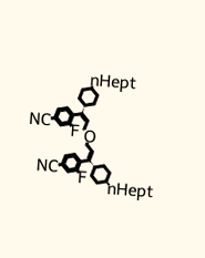 CCCCCCC[C@H]1CC[C@H](C(=CCOCC=C(c2ccc(C#N)cc2F)[C@H]2CC[C@H](CCCCCCC)CC2)c2ccc(C#N)cc2F)CC1